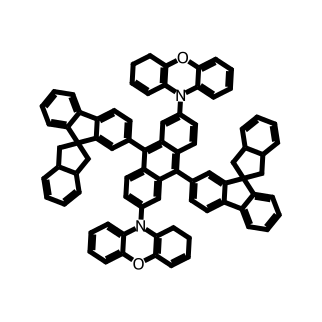 C1=CC2CC3(CC2C=C1)c1ccccc1-c1ccc(-c2c4ccc(N5C6=C(C=CCC6)Oc6ccccc65)cc4c(-c4ccc5c(c4)C4(CC6C=CC=CC6C4)c4ccccc4-5)c4ccc(N5C6=C(CCC=C6)Oc6ccccc65)cc24)cc13